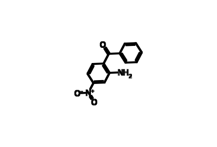 Nc1cc([N+](=O)[O-])ccc1C(=O)c1ccccc1